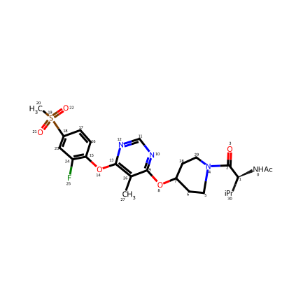 CC(=O)N[C@H](C(=O)N1CCC(Oc2ncnc(Oc3ccc(S(C)(=O)=O)cc3F)c2C)CC1)C(C)C